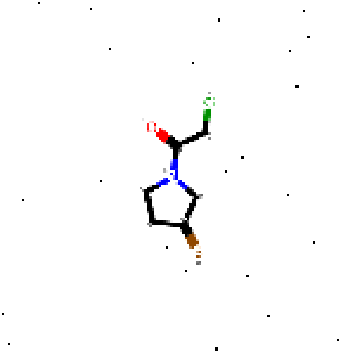 O=C(CCl)N1CCC(=S)C1